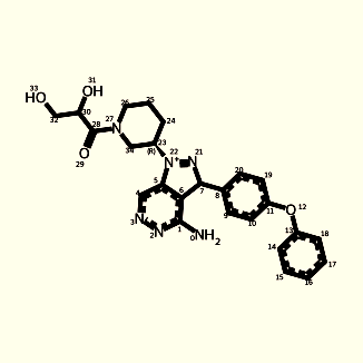 Nc1nncc2c1C(c1ccc(Oc3ccccc3)cc1)N=[N+]2[C@@H]1CCCN(C(=O)C(O)CO)C1